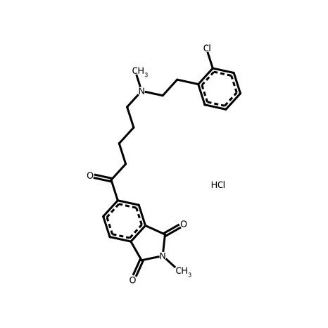 CN(CCCCC(=O)c1ccc2c(c1)C(=O)N(C)C2=O)CCc1ccccc1Cl.Cl